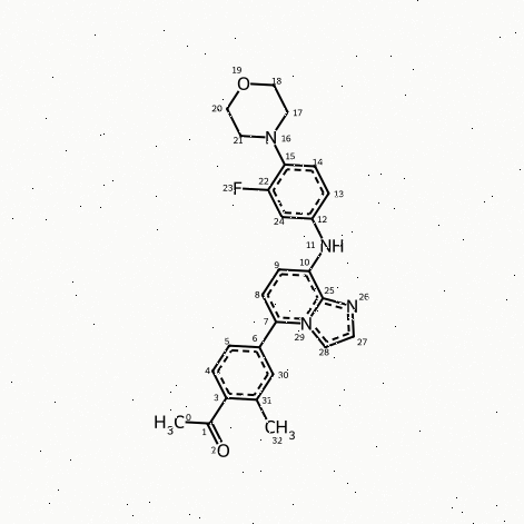 CC(=O)c1ccc(-c2ccc(Nc3ccc(N4CCOCC4)c(F)c3)c3nccn23)cc1C